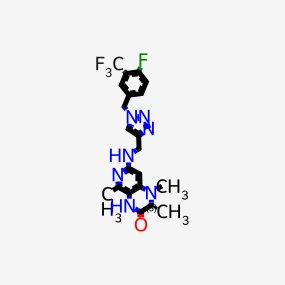 Cc1nc(NCc2cn(Cc3ccc(F)c(C(F)(F)F)c3)nn2)cc2c1NC(=O)[C@H](C)N2C